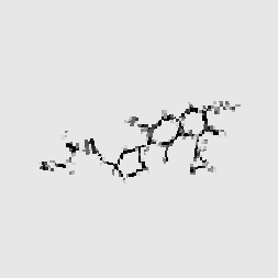 Cc1c(N2CCC(CNC(=O)OC(C)(C)C)C2)c(F)cc2cc(C(=O)O)c(=O)n(C3CC3)c12